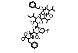 CCC(C)C(C(CC(=O)N1C[C@@H](F)C[C@H]1C(OC)C(C)C(=O)NC(Cc1ccccc1)C(=O)O)OC)N(C)C(=O)C(NC(=O)C(C(C)C)N(C)C(=O)OCc1ccccc1)C(C)C